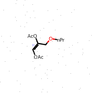 CCCOC/C(=C\OC(C)=O)OC(C)=O